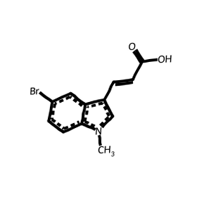 Cn1cc(/C=C/C(=O)O)c2cc(Br)ccc21